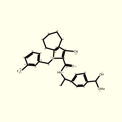 COC(O)c1ccc(C(C)NC(=O)c2c(C#N)c3c(n2Cc2cccc(C(F)(F)F)c2)CCCCC3)cc1